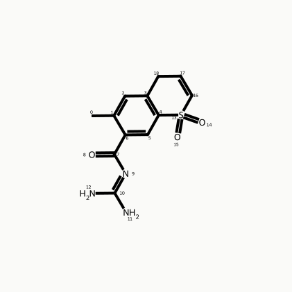 Cc1cc2c(cc1C(=O)N=C(N)N)S(=O)(=O)C=CC2